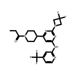 CCC(=O)N1CCC(c2cc(Nc3cc(C(F)(F)F)ccn3)nc(N3CC(F)(F)C3)n2)CC1